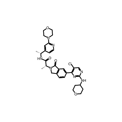 C[C@H](C(=O)N[C@H](C)c1ccnc(N2CCOCC2)c1)N1Cc2ccc(-c3nc(NC4CCOCC4)ncc3Cl)cc2C1=O